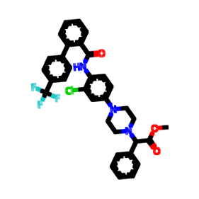 COC(=O)C(c1ccccc1)N1CCN(c2ccc(NC(=O)c3ccccc3-c3ccc(C(F)(F)F)cc3)c(Cl)c2)CC1